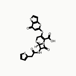 O=C(Cc1cccs1)NC1C(=O)N2C(C(=O)O)=C(Sc3cc(=O)c4sccc4s3)CS[C@@H]12